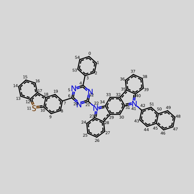 c1ccc(-c2nc(-c3ccc4sc5ccccc5c4c3)nc(-n3c4ccccc4c4cc5c(cc43)c3ccccc3n5-c3ccc4ccccc4c3)n2)cc1